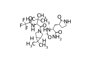 CC(C)(C)[C@H](NC(=O)C(F)(F)F)C(=O)N1C[C@H]2[C@@H]([C@H]1C(=O)NC(C[C@@H]1CCNC1=O)C(N)=O)C2(C)C